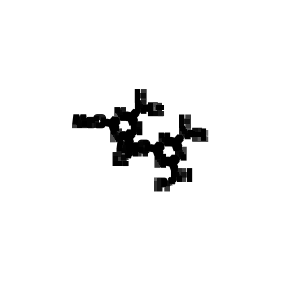 CCNc1nc(NC(C)C)nc(OC)n1.CCNc1nc(NCC)nc(OC)n1